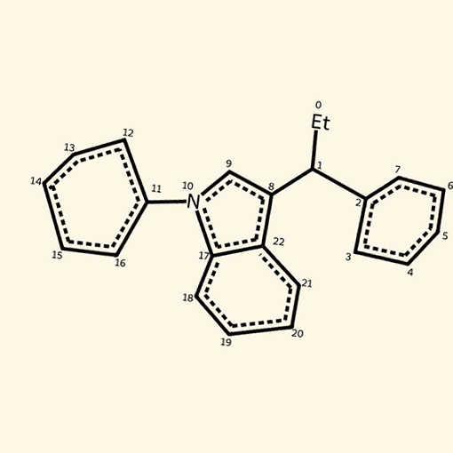 CCC(c1ccccc1)c1cn(-c2ccccc2)c2ccccc12